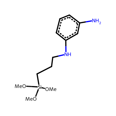 CO[Si](CCCNc1cccc(N)c1)(OC)OC